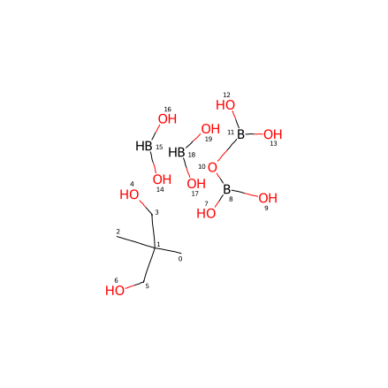 CC(C)(CO)CO.OB(O)OB(O)O.OBO.OBO